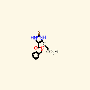 CCOC(=O)CCCC1=C(C(=O)OCc2ccccc2)CNC(=S)N1